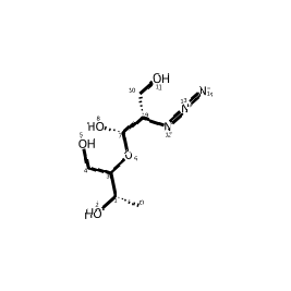 C[C@H](O)C(CO)O[C@H](O)[C@H](CO)N=[N+]=[N-]